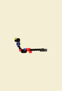 CCCCCCCCCCCCCCCCCCCC(=O)OCOc1ccc2ccc(OCCCCN3CCN(c4cccc5sccc45)CC3)cc2n1